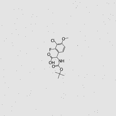 COc1ccc(C(NC(=O)OC(C)(C)C)C(=O)O)c(F)c1Cl